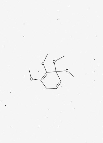 COC1=C(OC)C(OC)(OC)C=CC1